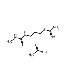 CC(=O)O.CNC(=S)NCCCSC(=N)N